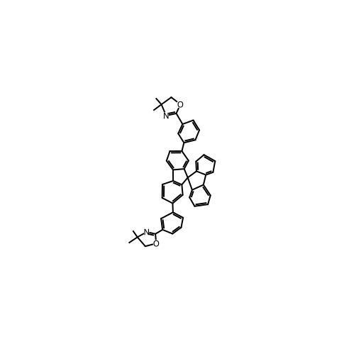 CC1(C)COC(c2cccc(-c3ccc4c(c3)C3(c5ccccc5-c5ccccc53)c3cc(-c5cccc(C6=NC(C)(C)CO6)c5)ccc3-4)c2)=N1